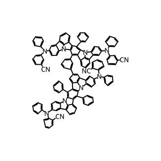 N#Cc1cccc(N(c2ccccc2)c2ccc3c(c2)c2cccc4c5c(-c6cccc(-c7cc8c9cc(N(c%10ccccc%10)c%10ccccc%10C#N)ccc9n9c%10c(-c%11ccccc%11)c%11c%12cccc%13c%14cc(N(c%15ccccc%15)c%15ccccc%15C#N)ccc%14n(c%11c(-c%11ccccc%11)c%10c(c7)c89)c%13%12)c6)c6c(c(-c7ccccc7)c5n3c24)c2cccc3c4cc(N(c5ccccc5)c5cccc(C#N)c5)ccc4n6c32)c1